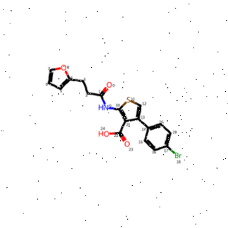 O=C(CCc1ccco1)Nc1scc(-c2ccc(Br)cc2)c1C(=O)O